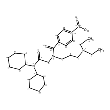 CCN(CC)CCCN(CC(=O)N(C1CCCCC1)C1CCCCC1)C(=O)c1ccc([N+](=O)[O-])cc1